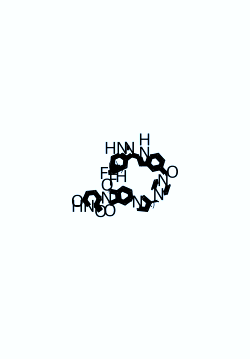 C[C@@]12Cc3[nH]nc(-c4cc5cc(C(=O)N6CCN(C[C@H]7CCN(c8ccc9c(c8)C(=O)N(C8CCC(=O)NC8=O)C9=O)C7)CC6)ccc5[nH]4)c3C[C@@H]1C2(F)F